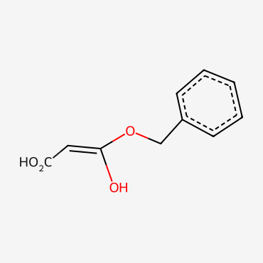 O=C(O)/C=C(\O)OCc1ccccc1